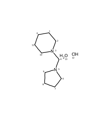 C1CCN(CN2CCCC2)CC1.Cl.O